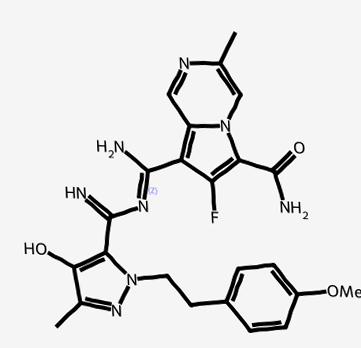 COc1ccc(CCn2nc(C)c(O)c2C(=N)/N=C(\N)c2c(F)c(C(N)=O)n3cc(C)ncc23)cc1